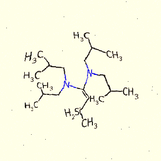 C[SiH2]C=C(N(CC(C)C)CC(C)C)N(CC(C)C)CC(C)C